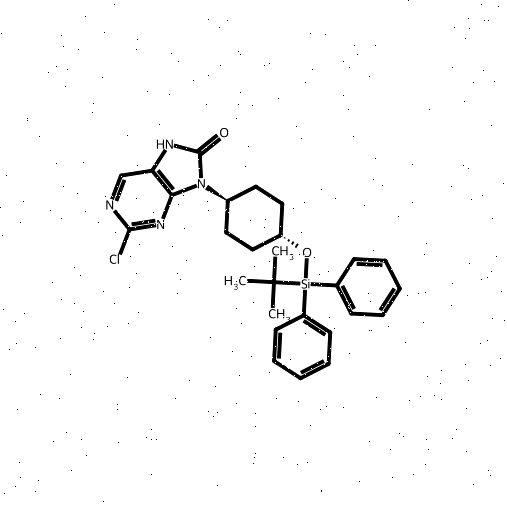 CC(C)(C)[Si](O[C@H]1CC[C@H](n2c(=O)[nH]c3cnc(Cl)nc32)CC1)(c1ccccc1)c1ccccc1